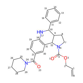 C=CCOC(=O)N1CCC2C(c3ccccc3)Nc3ccc(C(=O)N4CCCCC4)cc3C21